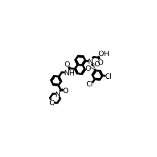 O=C(O)CN(c1cccc2c(C(=O)NCc3cccc(C(=O)N4CCOCC4)c3)cccc12)S(=O)(=O)c1cc(Cl)cc(Cl)c1